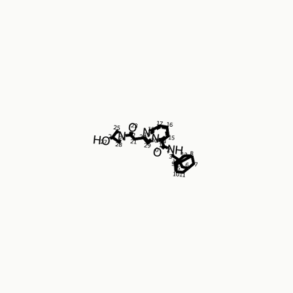 O=C(NCC12CC3CC(CC(C3)C1)C2)c1cccc2nc(CC(=O)N3CC(O)C3)cn12